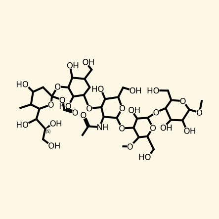 COC1OC(CO)C(OC2OC(CO)C(OC)C(OC3OC(CO)C(O)C(OC4CC(CO)C(O)C(OC5(OC=O)CC(O)C(C)C(C(O)[C@@H](O)CO)O5)C4O)C3NC(C)=O)C2O)C(O)C1O